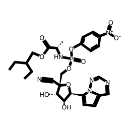 CCC(CC)COC(=O)[C@H](C)NP(=O)(OC[C@@]1(C#N)O[C@@H](c2ccc3cncnn23)[C@H](O)[C@@H]1O)Oc1ccc([N+](=O)[O-])cc1